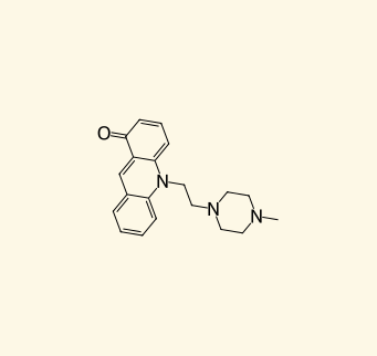 CN1CCN(CCn2c3cccc(=O)c-3cc3ccccc32)CC1